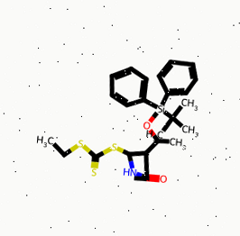 CCSC(=S)SC1NC(=O)C1C(C)O[Si](c1ccccc1)(c1ccccc1)C(C)(C)C